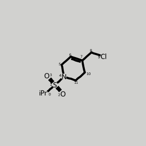 CC(C)S(=O)(=O)N1CC=C(CCl)CC1